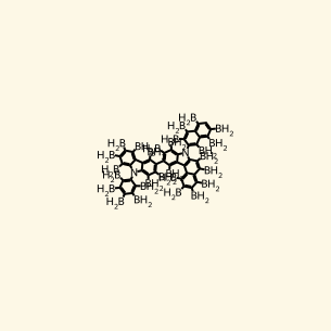 Bc1cc(B)c2c(B)c(B)c(-n3c4c(B)c(B)c(-c5c(B)c(B)c6c(c5B)c5c(B)c(B)c(B)c(B)c5n6-c5c(B)c(B)c(B)c(B)c5B)c(B)c4c4c5c(B)c(B)c(B)c(B)c5c(B)c(B)c43)c(B)c2c1B